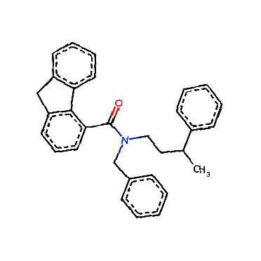 CC(CCN(Cc1ccccc1)C(=O)c1cccc2c1-c1ccccc1C2)c1ccccc1